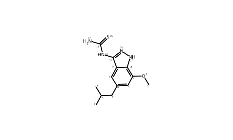 COc1cc(CC(C)C)cc2c(NC(N)=S)n[nH]c12